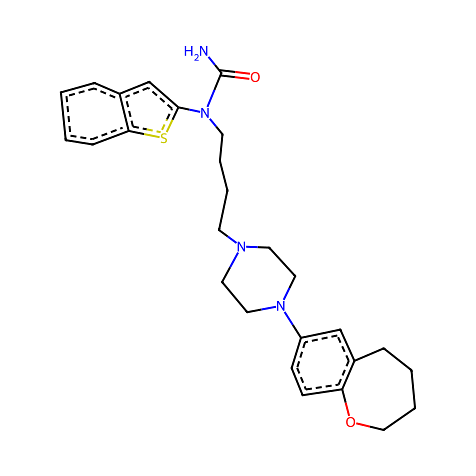 NC(=O)N(CCCCN1CCN(c2ccc3c(c2)CCCCO3)CC1)c1cc2ccccc2s1